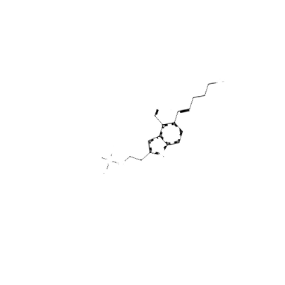 C=Cc1c(C=CCCCO)ccc2[nH]c(CCO[Si](C)(C)C(C)(C)C)cc12